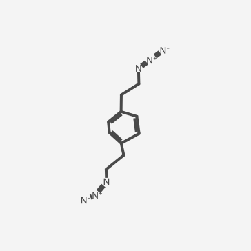 [N-]=[N+]=NCCc1ccc(CCN=[N+]=[N-])cc1